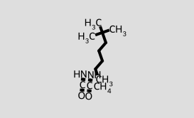 C.CCCCCC(C)(C)C.N=C=O.N=C=O